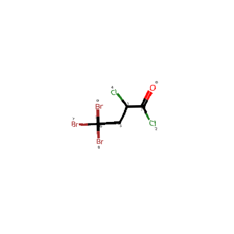 O=C(Cl)C(Cl)CC(Br)(Br)Br